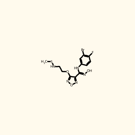 CSNCCOc1nonc1/C(=N/O)Nc1ccc(F)c(Br)c1